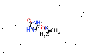 CC(C)=NOC[C@@H]1CNCC(=O)N1